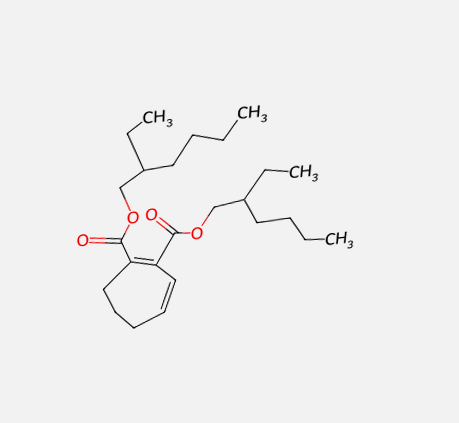 CCCCC(CC)COC(=O)C1=C(C(=O)OCC(CC)CCCC)CCCC=C1